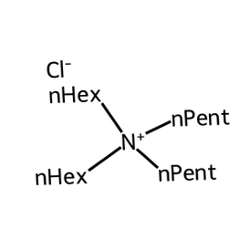 CCCCCC[N+](CCCCC)(CCCCC)CCCCCC.[Cl-]